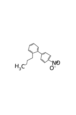 CCCCc1ccccc1-c1ccc([N+](=O)[O-])cc1